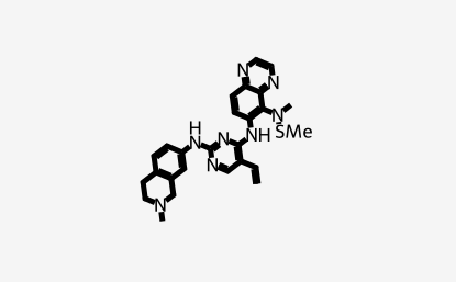 C=Cc1cnc(Nc2ccc3c(c2)CN(C)CC3)nc1Nc1ccc2nccnc2c1N(C)SC